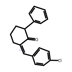 O=C1/C(=C\c2ccc(Cl)cc2)CCCC1c1ccccc1